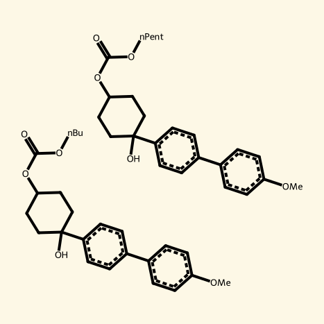 CCCCCOC(=O)OC1CCC(O)(c2ccc(-c3ccc(OC)cc3)cc2)CC1.CCCCOC(=O)OC1CCC(O)(c2ccc(-c3ccc(OC)cc3)cc2)CC1